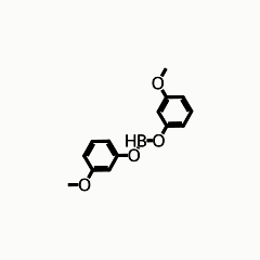 COc1cccc(OBOc2cccc(OC)c2)c1